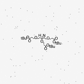 CC(C)(C)OC(=O)CCOCCC(OCCC(=O)OC(C)(C)C)C(N)COCCC(=O)OC(C)(C)C